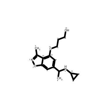 Cc1noc2cc(C(C)NC3CC3)cc(OCCCO)c12